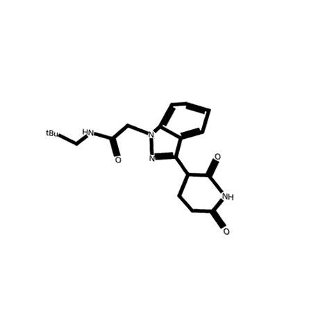 CC(C)(C)CNC(=O)Cn1nc(C2CCC(=O)NC2=O)c2ccccc21